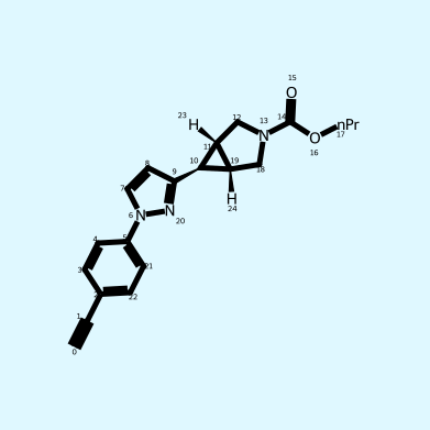 C#Cc1ccc(-n2ccc([C@H]3[C@@H]4CN(C(=O)OCCC)C[C@@H]43)n2)cc1